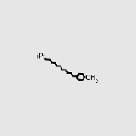 Cc1ccc(CCCCCCCCCCCC(C)C)cc1